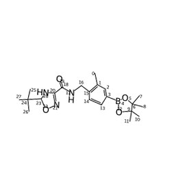 Cc1cc(B2OC(C)(C)C(C)(C)O2)ccc1CNC(=O)C1=NOC(C(C)(C)C)N1